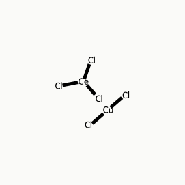 [Cl][Ce]([Cl])[Cl].[Cl][Cu][Cl]